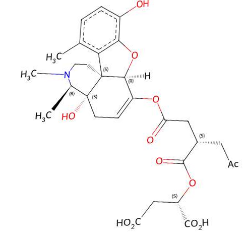 CC(=O)C[C@@H](CC(=O)OC1=CC[C@@]2(O)[C@@H](C)N(C)CC[C@@]23c2c(C)ccc(O)c2O[C@@H]13)C(=O)O[C@@H](CC(=O)O)C(=O)O